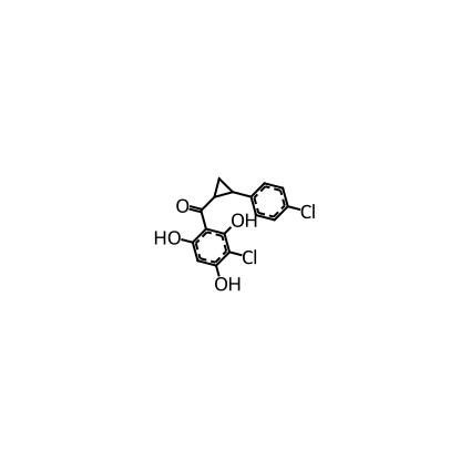 O=C(c1c(O)cc(O)c(Cl)c1O)C1CC1c1ccc(Cl)cc1